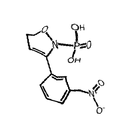 O=[N+]([O-])c1cccc(C2=CCON2P(=O)(O)O)c1